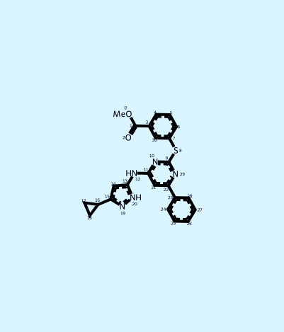 COC(=O)c1cccc(Sc2nc(Nc3cc(C4CC4)n[nH]3)cc(-c3ccccc3)n2)c1